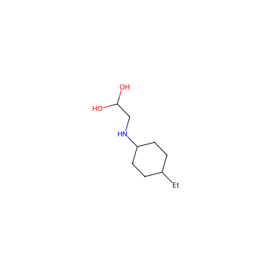 CCC1CCC(NCC(O)O)CC1